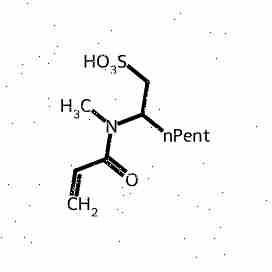 C=CC(=O)N(C)C(CCCCC)CS(=O)(=O)O